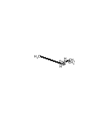 CCCCCCCCC=CCCCCCCCC(=O)Nc1nnc(NCCN(C)C)s1